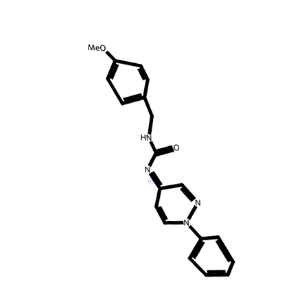 COc1ccc(CNC(=O)/N=c2/ccn(-c3ccccc3)nc2)cc1